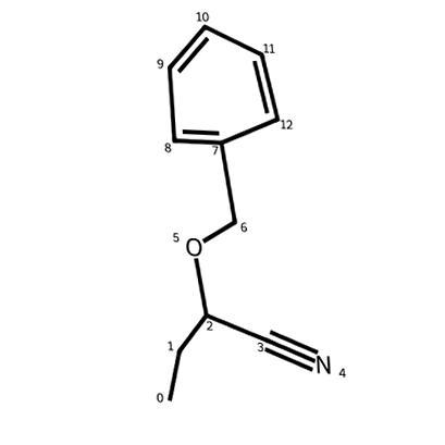 CCC(C#N)OCc1ccccc1